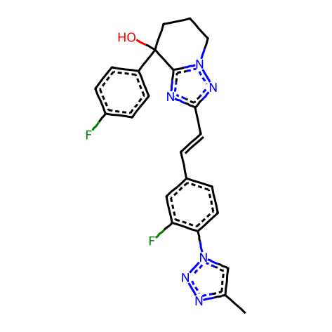 Cc1cn(-c2ccc(C=Cc3nc4n(n3)CCCC4(O)c3ccc(F)cc3)cc2F)nn1